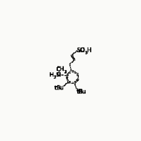 C[SiH2]c1c(CC=CS(=O)(=O)O)ccc(C(C)(C)C)c1C(C)(C)C